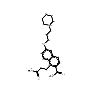 COC(=O)c1ccc2cc(OCCCN3CCCCC3)ccc2c1CCC(N)=O